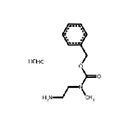 CN(CCN)C(=O)OCc1ccccc1.Cl.Cl